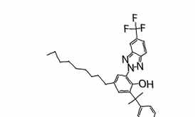 CCCCCCCCCc1cc(-n2nc3ccc(C(F)(F)F)cc3n2)c(O)c(C(C)(C)c2ccccc2)c1